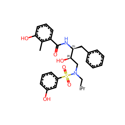 Cc1c(O)cccc1C(=O)N[C@@H](Cc1ccccc1)[C@H](O)CN(CC(C)C)S(=O)(=O)c1cccc(O)c1